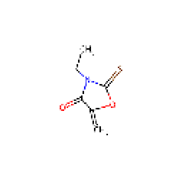 C=C1OC(=S)N(CC)C1=O